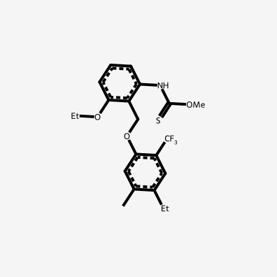 CCOc1cccc(NC(=S)OC)c1COc1cc(C)c(CC)cc1C(F)(F)F